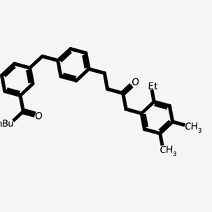 CCCCC(=O)c1cccc(Cc2ccc(CCC(=O)Cc3cc(C)c(C)cc3CC)cc2)c1